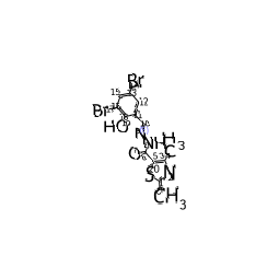 Cc1nc(C)c(C(=O)N/N=C/c2cc(Br)cc(Br)c2O)s1